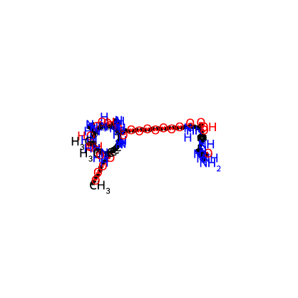 CCOCCOCCOCCNC(=O)[C@@H]1CCCCn2cc(nn2)C[C@H](NC(=O)CCOCCOCCOCCOCCOCCOCCOCCNC(=O)CC[C@H](NC(=O)c2ccc(NCc3cnc4nc(N)[nH]c(=O)c4n3)cc2)C(=O)O)C(=O)N[C@H](Cc2cnc[nH]2)C(=O)N[C@H](CO)C(=O)N[C@H](Cc2cnc[nH]2)C(O)N[C@H]([C@H](C)O)C(=O)N[C@H](C)C(=O)N1